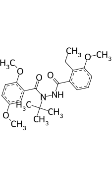 CCc1c(OC)cccc1C(=O)NN(C(=O)c1cc(OC)ccc1OC)C(C)(C)C